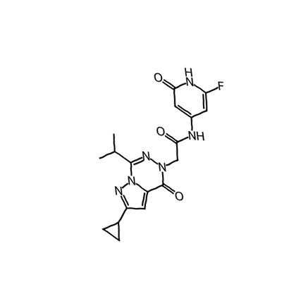 CC(C)c1nn(CC(=O)Nc2cc(F)[nH]c(=O)c2)c(=O)c2cc(C3CC3)nn12